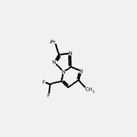 Cc1cc(C(F)F)n2nc(C(C)C)nc2n1